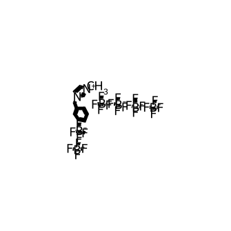 C[n+]1ccn(Cc2ccccc2)c1.F[B-](F)(F)F.F[B-](F)(F)F.F[B-](F)(F)F.F[B-](F)(F)F.F[B-](F)(F)F.F[B-](F)(F)F